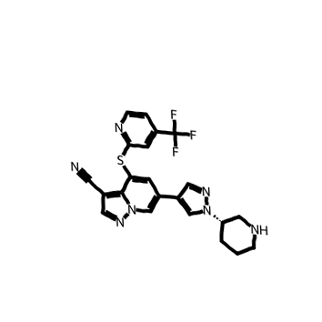 N#Cc1cnn2cc(-c3cnn([C@H]4CCCNC4)c3)cc(Sc3cc(C(F)(F)F)ccn3)c12